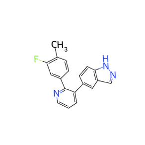 Cc1ccc(-c2ncccc2-c2ccc3[nH]ncc3c2)cc1F